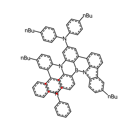 CCCCc1ccc(N(c2ccc(CCCC)cc2)c2cc3c4c(c2)N(c2ccc(CCCC)cc2-c2ccccc2)c2cc(N(c5ccccc5)c5ccccc5)ccc2B4n2c4ccc(CCCC)cc4c4cccc-3c42)cc1